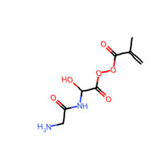 C=C(C)C(=O)OOC(=O)C(O)NC(=O)CN